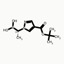 C[C@H](B(O)O)n1cc(C(=O)OC(C)(C)C)cn1